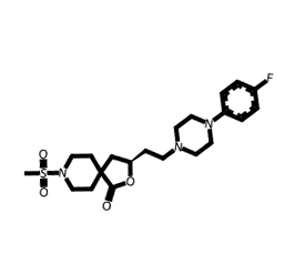 CS(=O)(=O)N1CCC2(CC1)C[C@@H](CCN1CCN(c3ccc(F)cc3)CC1)OC2=O